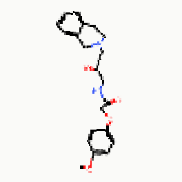 COc1ccc(OCC(=O)NCC(O)CN2CCc3ccccc3C2)cc1